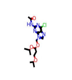 CC(=O)Nc1nc(Cl)c2ncn(COC(CCOC(C)C)OC(C)C)c2n1